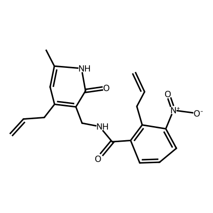 C=CCc1cc(C)[nH]c(=O)c1CNC(=O)c1cccc([N+](=O)[O-])c1CC=C